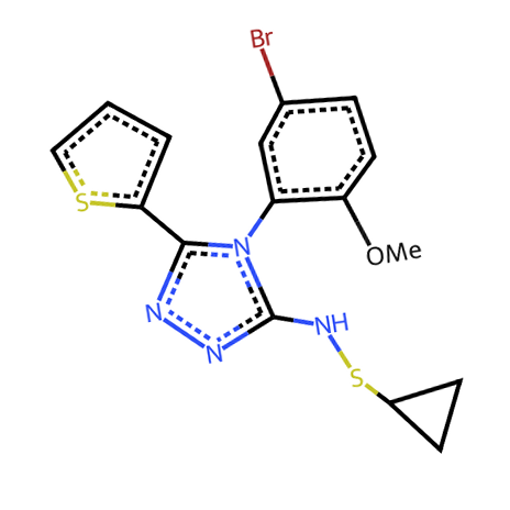 COc1ccc(Br)cc1-n1c(NSC2CC2)nnc1-c1cccs1